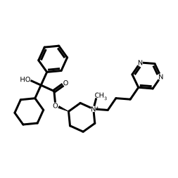 C[N+]1(CCCc2cncnc2)CCC[C@@H](OC(=O)C(O)(c2ccccc2)C2CCCCC2)C1